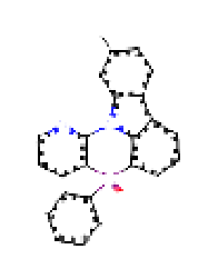 Cc1ccc2c3cccc4c3n(c2c1)-c1ncccc1P4(=O)c1ccccc1